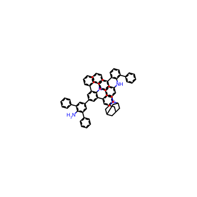 Nc1c(-c2ccccc2)cc(-c2cc(-c3ccccc3)c(N(c3ccccc3)c3cc(Nc4c(-c5ccccc5)cccc4-c4ccccc4)cc(N4C5CC6CC(C5)CC4C6)c3)c(-c3ccccc3)c2)cc1-c1ccccc1